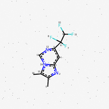 Cc1nc2cc(C(F)(F)C(F)F)ncn2c1C